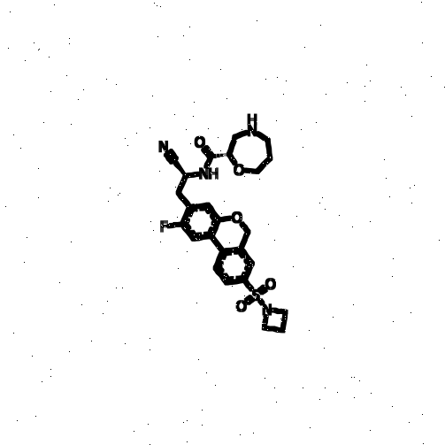 N#C[C@H](Cc1cc2c(cc1F)-c1ccc(S(=O)(=O)N3CCC3)cc1CO2)NC(=O)[C@@H]1CNCCCO1